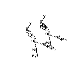 CC(C)CCC[C@@H](C)[C@H]1CCC2C3CC=C4CC(OC(=O)N(CCCCNCCCN)CCCCNCCCN)CC[C@]4(C)C3CC[C@@]21C.CC(C)CCC[C@@H](C)[C@H]1CC[C@H]2[C@@H]3CC=C4CC(OC(=O)N(CCCCNCCCN)CCCCNCCCN)CC[C@]4(C)[C@H]3CC[C@]12C